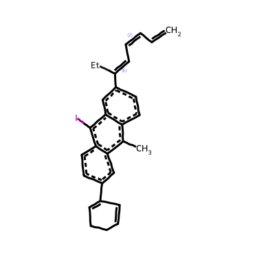 C=C/C=C\C=C(/CC)c1ccc2c(C)c3cc(C4=CCCC=C4)ccc3c(I)c2c1